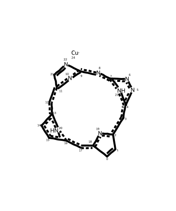 C1=Cc2cc3nnc(nc4nc(cc5ccc(cc1n2)[nH]5)C=N4)[nH]3.[Cu]